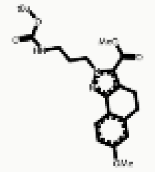 COC(=O)c1c2c(nn1CCCNC(=O)OC(C)(C)C)-c1ccc(OC)cc1CC2